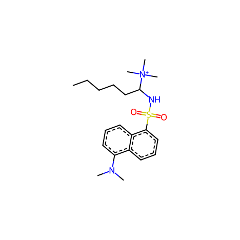 CCCCCC(NS(=O)(=O)c1cccc2c(N(C)C)cccc12)[N+](C)(C)C